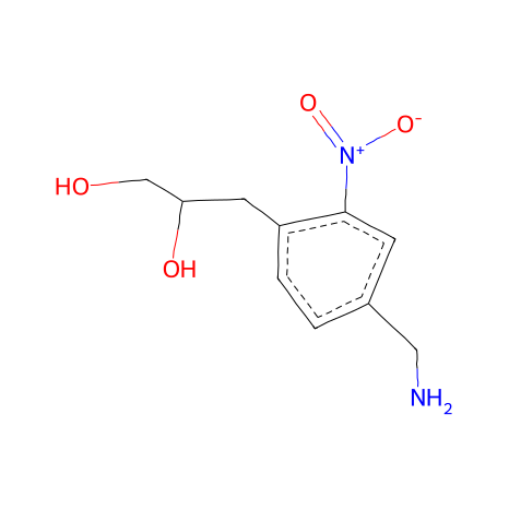 NCc1ccc(CC(O)CO)c([N+](=O)[O-])c1